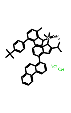 CC1=Cc2c(-c3ccc(C(C)(C)C)cc3)ccc(C)c2[CH]1[Zr]([CH3])([CH3])(=[SiH2])[CH]1C(C(C)C)=Cc2c(-c3cccc4c3ccc3ccccc34)cccc21.Cl.Cl